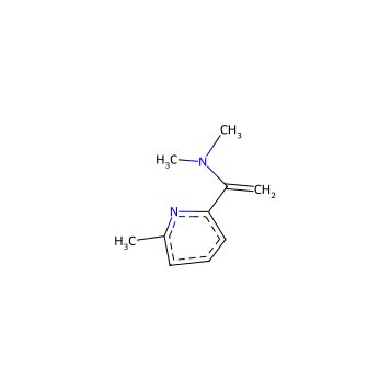 C=C(c1cccc(C)n1)N(C)C